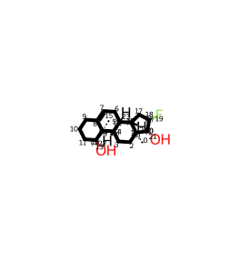 C[C@]12CC[C@H]3[C@@H](CC=C4CCC[C@H](O)[C@@]43C)[C@@H]1C[C@@H](F)[C@@H]2O